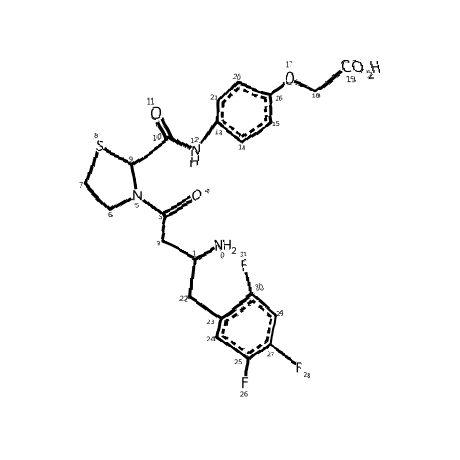 NC(CC(=O)N1CCSC1C(=O)Nc1ccc(OCC(=O)O)cc1)Cc1cc(F)c(F)cc1F